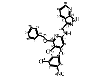 [C-]#[N+]c1cc(Cl)cc(Oc2cc(NCc3n[nH]c4ncccc34)nc(OCc3ccccc3)c2Cl)c1